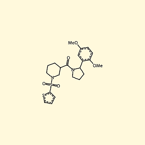 COc1ccc(OC)c(C2CCCN2C(=O)C2CCCN(S(=O)(=O)c3cccs3)C2)c1